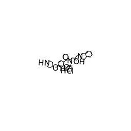 Cl.Cl.O=C1c2ccc(OC3CCNCC3)cc2OCCN1CC(O)CN1CCc2ccccc2C1